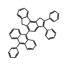 c1ccc(C2=C(c3ccccc3)c3cc(-c4c5ccccc5c(-c5ccccc5)c5ccccc45)c4c(c3C2)-c2ccccc2C4)cc1